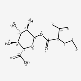 CCCC(C(=O)OC1O[C@H](C(=O)O)[C@@H](O)[C@H](O)[C@H]1O)C(C)C